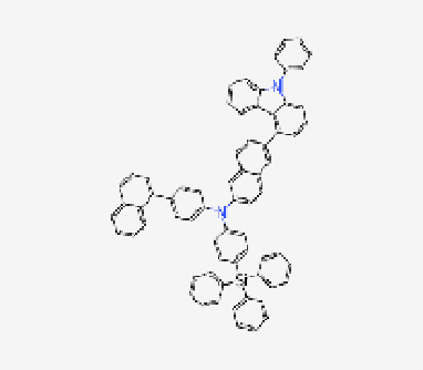 c1ccc(-n2c3ccccc3c3c(-c4ccc5cc(N(c6ccc(-c7cccc8ccccc78)cc6)c6ccc([Si](c7ccccc7)(c7ccccc7)c7ccccc7)cc6)ccc5c4)cccc32)cc1